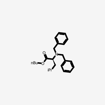 CCCCOC(=O)[C@H](CC(C)C)N(Cc1ccccc1)Cc1ccccc1